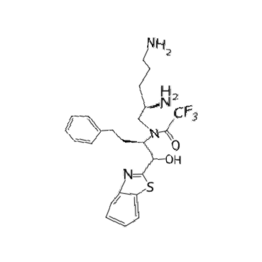 NCCC[C@@H](N)CN(C(=O)C(F)(F)F)[C@H](CCc1ccccc1)C(O)c1nc2ccccc2s1